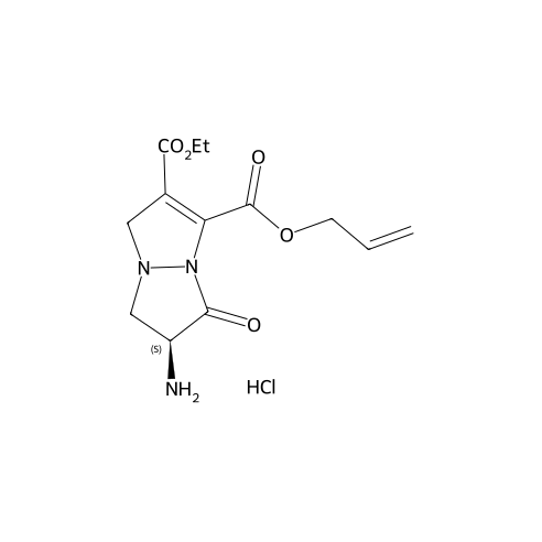 C=CCOC(=O)C1=C(C(=O)OCC)CN2C[C@H](N)C(=O)N12.Cl